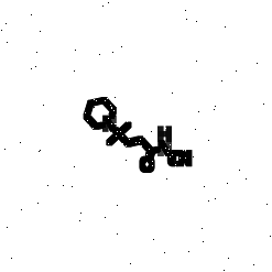 CC(C)(C=CC(=O)NC#N)N1CCCCC1